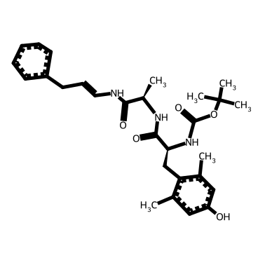 Cc1cc(O)cc(C)c1C[C@H](NC(=O)OC(C)(C)C)C(=O)N[C@H](C)C(=O)N/C=C/Cc1ccccc1